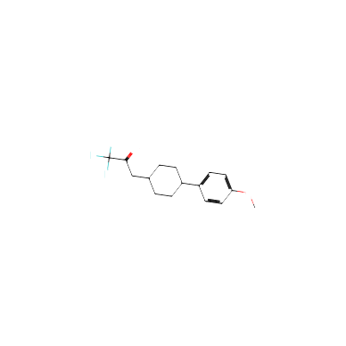 COc1ccc(C2CCC(CC(=O)C(F)(F)F)CC2)cc1